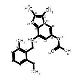 CCc1cccc(C)c1CNc1cc(OC(=O)O)cn2c(C)c(C)nc12